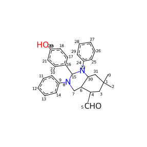 CC1(C)CC(C=O)C2CN(c3ccccc3)C(c3ccc(O)cc3)N(c3ccccc3)C2C1